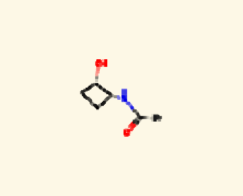 CC(C)C(=O)N[C@@H]1CC[C@@H]1O